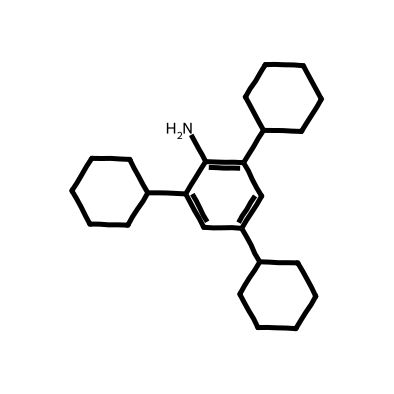 Nc1c(C2CCCCC2)cc(C2CCCCC2)cc1C1CCCCC1